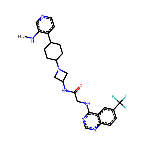 CNc1cnccc1C1CCC(N2CC(NC(=O)CNc3ncnc4ccc(C(F)(F)F)cc34)C2)CC1